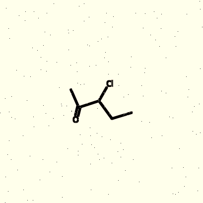 CCC(Cl)C(C)=O